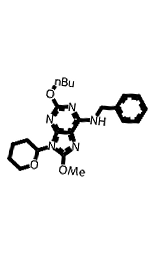 CCCCOc1nc(NCc2ccccc2)c2nc(OC)n(C3CCCCO3)c2n1